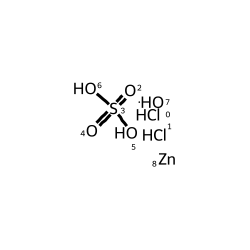 Cl.Cl.O=S(=O)(O)O.[OH].[Zn]